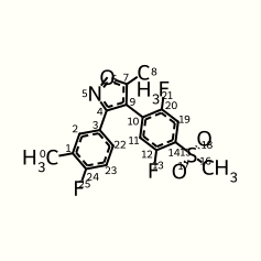 Cc1cc(-c2noc(C)c2-c2cc(F)c(S(C)(=O)=O)cc2F)ccc1F